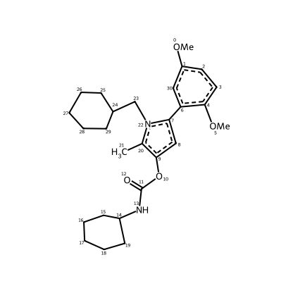 COc1ccc(OC)c(-c2cc(OC(=O)NC3CCCCC3)c(C)n2CC2CCCCC2)c1